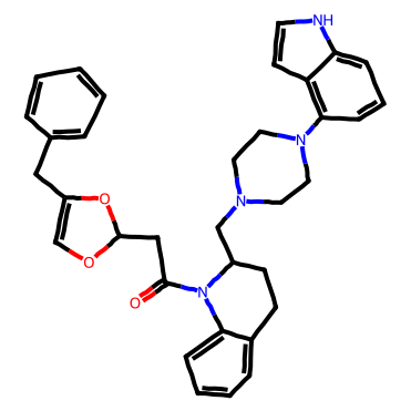 O=C(CC1OC=C(Cc2ccccc2)O1)N1c2ccccc2CCC1CN1CCN(c2cccc3[nH]ccc23)CC1